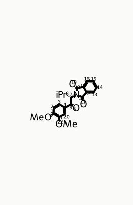 COc1ccc(C(=O)[C@H](C(C)C)N2C(=O)c3ccccc3C2=O)cc1OC